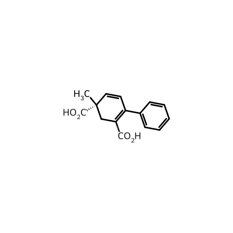 C[C@@]1(C(=O)O)C=CC(c2ccccc2)=C(C(=O)O)C1